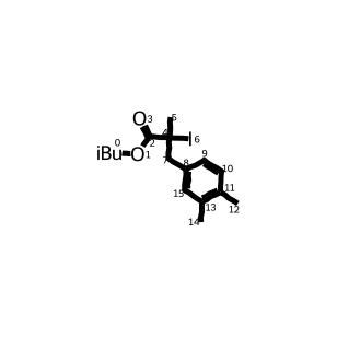 CCC(C)OC(=O)C(C)(I)Cc1ccc(C)c(C)c1